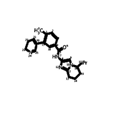 Cc1ccc(C(=O)Nc2cn3c(n2)CCCC3C(C)C)cc1C1=CCCN=C1